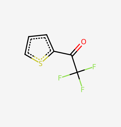 O=C(c1cccs1)C(F)(F)F